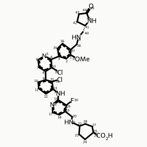 COc1cc(-c2nccc(-c3cccc(Nc4nccc(CNC5CCC(C(=O)O)CC5)c4F)c3Cl)c2Cl)ccc1CNC[C@@H]1CCC(=O)N1